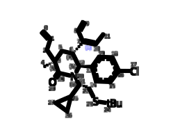 C=CC[C@@]1(C)C[C@H](/C(C=C)=C/C)[C@@H](c2ccc(Cl)cc2)N([C@H](CSC(C)(C)C)C2CC2)C1=O